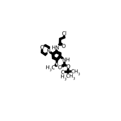 COc1cc(N2CCOCC2)c(NC(=O)CCCl)cc1NC(=O)OC(C)(C)C